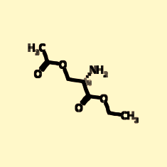 CCOC(=O)[C@@H](N)COC(C)=O